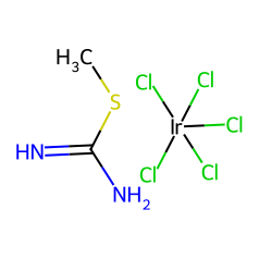 CSC(=N)N.[Cl][Ir]([Cl])([Cl])([Cl])[Cl]